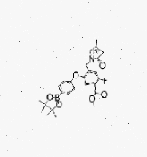 COC(=O)c1cc(Oc2ccc(B3OC(C)(C)C(C)(C)O3)cc2)c(CN2C[C@@H](C)CC2=O)cc1F